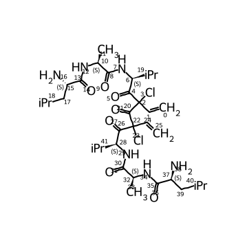 C=CC(Cl)(C(=O)[C@@H](NC(=O)[C@H](C)NC(=O)[C@@H](N)CC(C)C)C(C)C)C(=O)C(Cl)(C=C)C(=O)[C@@H](NC(=O)[C@H](C)NC(=O)[C@@H](N)CC(C)C)C(C)C